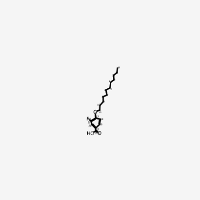 CCCCCCCCCCCCOc1ccc(C(=O)O)cc1F